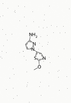 COc1ncc(-n2ccc(N)n2)s1